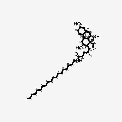 CCCCCCCCCCCCCCCCCCCNC(=O)CC[C@@H](C)[C@H]1CC[C@H]2[C@@H]3[C@H](O)C[C@@H]4C[C@H](O)CC[C@]4(C)[C@H]3C[C@H](O)[C@]12C